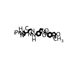 Cc1cnc(Nc2ccc3c(ccn3S(=O)(=O)c3ccc4c(c3)CC(=O)N4C)c2)nc1-c1cnn(C(C)C)c1